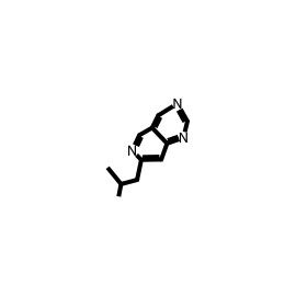 CC(C)Cc1cc2ncncc2cn1